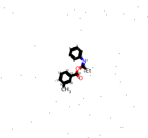 CCC(=Nc1ccccc1)OC(=O)c1cccc(C)c1